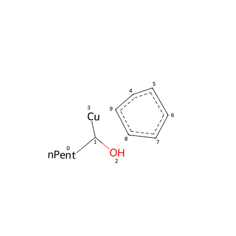 CCCCC[CH](O)[Cu].c1ccccc1